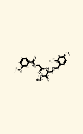 Cc1ccc(CNCC(NC(=O)CNC(=O)c2cccc(SC(F)(F)F)c2)C(=O)NC(C)(C)C)c(C)c1